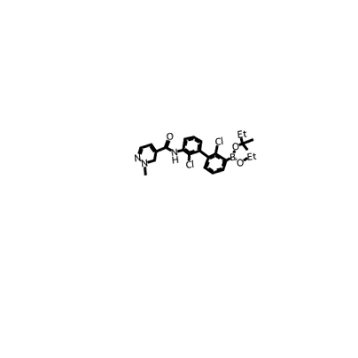 CCOB(OC(C)(C)CC)c1cccc(-c2cccc(NC(=O)C3=CC=NN(C)C3)c2Cl)c1Cl